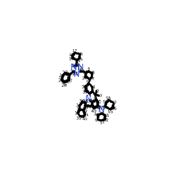 CC1(C)c2cc(-c3cccc(-c4nc(-c5ccccc5)nc(-c5ccccc5)n4)c3)ccc2-n2c3ccc4ccccc4c3c3cc(N(c4ccccc4)c4ccccc4)cc1c32